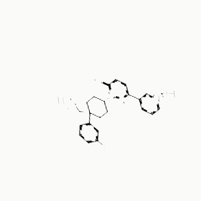 NC[C@]1(c2cccc(Cl)c2)CC[C@H](n2nc(-c3ccc[n+](O)c3)ccc2=O)CC1